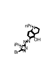 CCCN1CCCc2c1ccc(N=Nc1nnc(Br)n1C(C)C)c2O